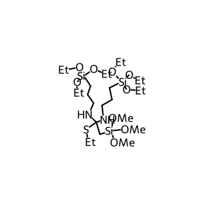 CCO[Si](CCCNC(C[Si](OC)(OC)OC)(NCCC[Si](OCC)(OCC)OCC)SCC)(OCC)OCC